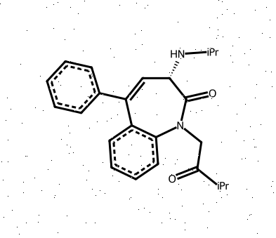 CC(C)N[C@H]1C=C(c2ccccc2)c2ccccc2N(CC(=O)C(C)C)C1=O